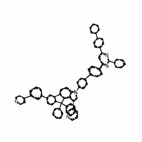 c1ccc(-c2ccc(-c3cc(-c4ccc(-c5ccc(-n6cc(-c7cccnc7)c7c8c(ccc76)-c6cc(-c7cccc(-c9ccncc9)c7)ccc6C8(c6ccccc6)c6ccccc6)cc5)cc4)nc(-c4ccccc4)n3)cc2)cc1